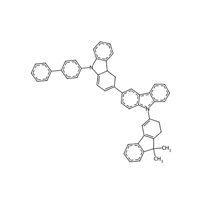 CC1(C)C2=C(C=C(n3c4ccccc4c4cc(C5=CC=C6C(C5)c5ccccc5N6c5ccc(-c6ccccc6)cc5)ccc43)CC2)c2ccccc21